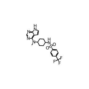 CN(c1ncnc2[nH]ccc12)C1CCC(NS(=O)(=O)c2ccc(C(F)(F)F)cc2)CC1